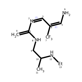 C=C(/N=C\C(=C/N)C(F)(F)F)NCC(C)NCC